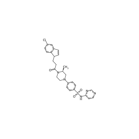 C[C@H]1CN(c2ccc(S(=O)(=O)Nc3ccncn3)cc2)CCN1C(=O)CCC1C=Cc2cc(Cl)ccc21